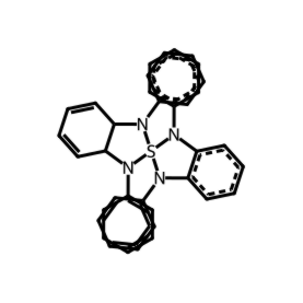 C1=C=C(N2c3ccccc3N(c3ccccc3)S23N(C2=CC=CCC2)C2C=CC=CC2N3c2ccccc2)C=CC=1